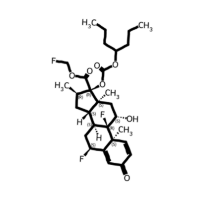 CCCC(CCC)OC(=O)O[C@]1(C(=O)OCF)[C@H](C)C[C@H]2[C@@H]3C[C@H](F)C4=CC(=O)C=C[C@]4(C)[C@@]3(F)[C@@H](O)C[C@@]21C